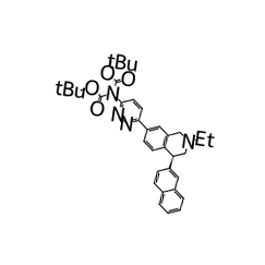 CCN1Cc2cc(-c3ccc(N(C(=O)OC(C)(C)C)C(=O)OC(C)(C)C)nn3)ccc2[C@H](c2ccc3ccccc3c2)C1